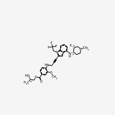 COc1cc(C(=O)OC[C@@H](C)O)ccc1NCC#Cc1cc2c(N[C@H]3CCN(C)C[C@H]3F)cccc2n1CC(F)(F)F